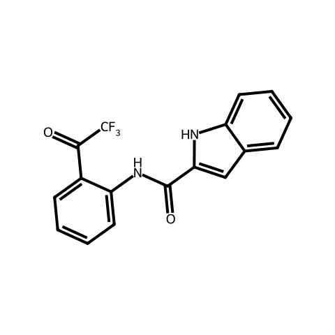 O=C(Nc1ccccc1C(=O)C(F)(F)F)c1cc2ccccc2[nH]1